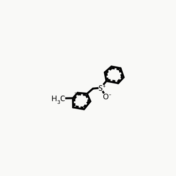 Cc1[c]c(C[S+]([O-])c2ccccc2)ccc1